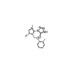 Cc1ccccc1OCc1c(F)cn(C)c1-n1nn[nH]c1=O